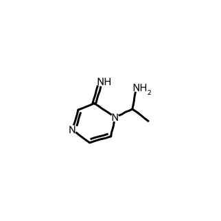 CC(N)n1ccncc1=N